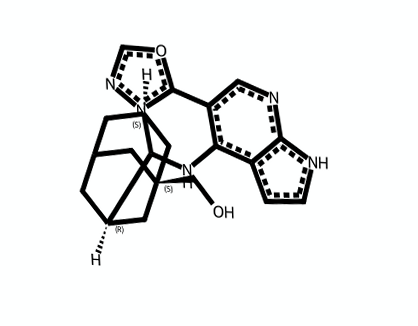 OC[C@]12CC3C[C@H](C1)C(Nc1c(-c4nnco4)cnc4[nH]ccc14)[C@@H](C3)C2